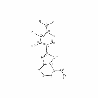 CCOC1CCCc2nc(-c3ccc(N(C)C)c(F)c3F)sc21